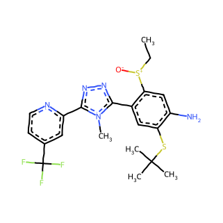 CC[S+]([O-])c1cc(N)c(SC(C)(C)C)cc1-c1nnc(-c2cc(C(F)(F)F)ccn2)n1C